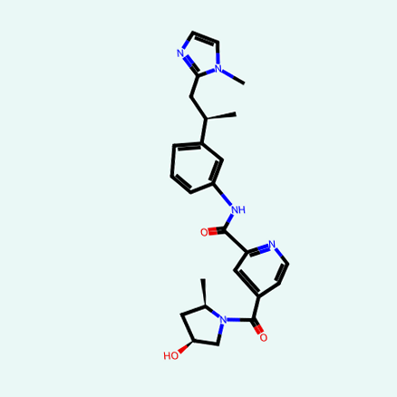 C[C@H](Cc1nccn1C)c1cccc(NC(=O)c2cc(C(=O)N3C[C@@H](O)C[C@H]3C)ccn2)c1